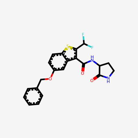 O=C(NC1CCNC1=O)c1c(C(F)F)sc2ccc(OCc3ccccc3)cc12